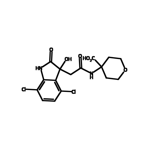 O=C(CC1(O)C(=O)Nc2c(Cl)ccc(Cl)c21)NC1(C(=O)O)CCOCC1